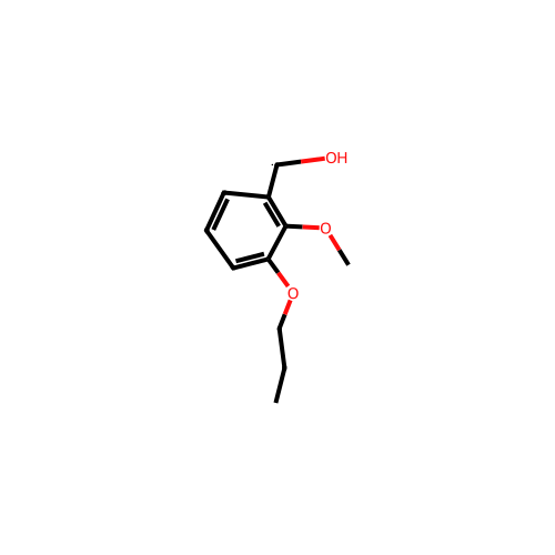 CCCOc1cccc([CH]O)c1OC